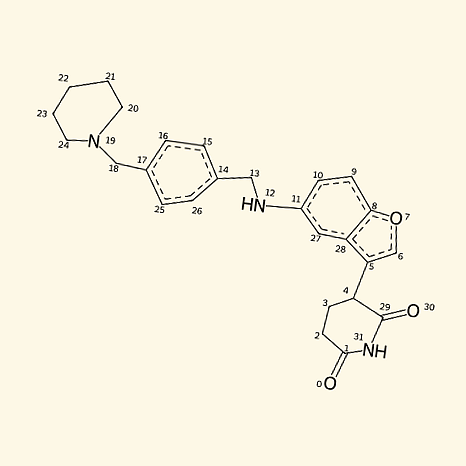 O=C1CCC(c2coc3ccc(NCc4ccc(CN5CCCCC5)cc4)cc23)C(=O)N1